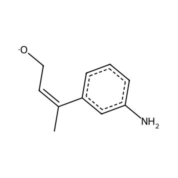 C/C(=C/C[O])c1cccc(N)c1